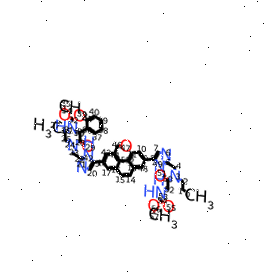 CCCN(Cc1ncc(-c2cc3c4c(ccc5cc(-c6cnc(CN(CCC)C(=O)[C@H](NC(=O)OC)c7ccccc7)[nH]6)cc(c54)CO3)c2)[nH]1)C(=O)CNC(=O)OC